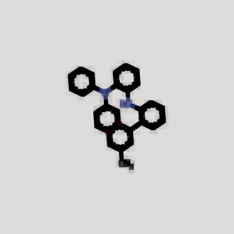 Cc1cccc(-c2ccccc2Nc2ccccc2N(c2ccccc2)c2ccccc2)c1